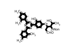 CCCCCCCCCC(C(C)O)C(CC=O)Oc1ccc(-c2nc(-c3ccc(C)cc3C)nc(-c3ccc(C)cc3C)n2)c(O)c1